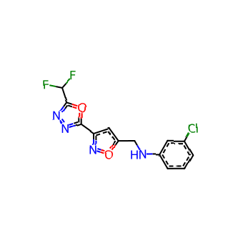 FC(F)c1nnc(-c2cc(CNc3cccc(Cl)c3)on2)o1